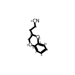 N#CCCC1COc2ccccc2O1